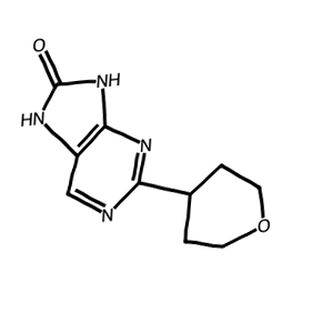 O=c1[nH]c2cnc(C3CCOCC3)nc2[nH]1